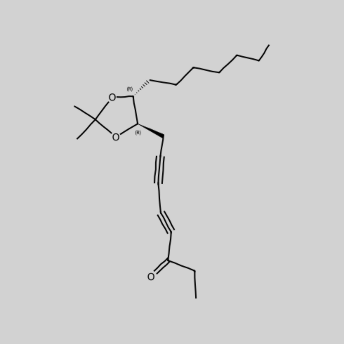 CCCCCCC[C@H]1OC(C)(C)O[C@@H]1CC#CC#CC(=O)CC